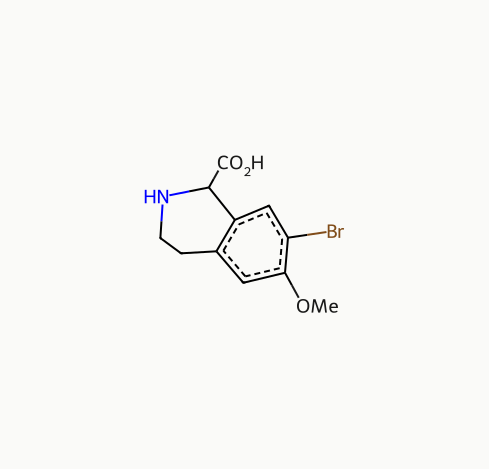 COc1cc2c(cc1Br)C(C(=O)O)NCC2